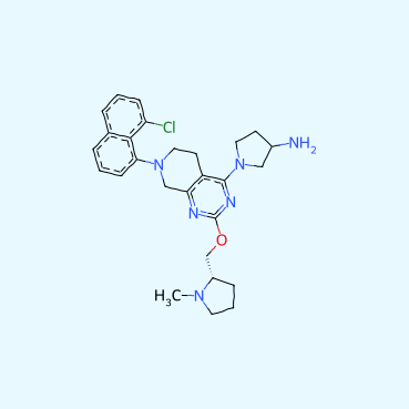 CN1CCC[C@H]1COc1nc2c(c(N3CCC(N)C3)n1)CCN(c1cccc3cccc(Cl)c13)C2